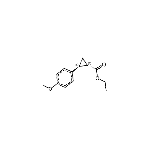 CCOC(=O)[C@H]1C[C@@H]1c1ccc(OC)cc1